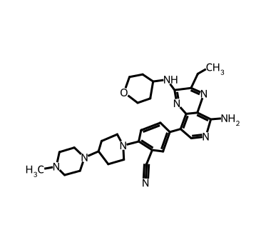 CCc1nc2c(N)ncc(-c3ccc(N4CCC(N5CCN(C)CC5)CC4)c(C#N)c3)c2nc1NC1CCOCC1